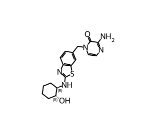 Nc1nccn(Cc2ccc3nc(N[C@@H]4CCCC[C@H]4O)sc3c2)c1=O